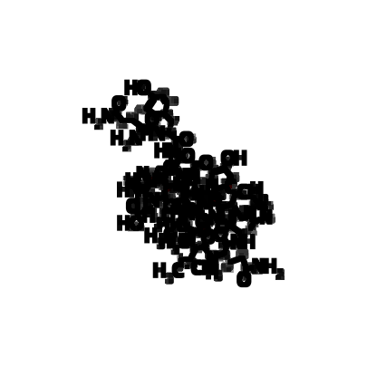 CC[C@H](C)[C@H](NC(=O)[C@@H](NC(=O)[C@H](Cc1ccc(O)cc1)NC(=O)[C@H](CC(N)=O)NC(=O)CNC(=O)[C@H](Cc1ccc(O)cc1)NC(=O)[C@@H](N)CCC(N)=O)C(C)C)C(=O)N[C@@H](CCC(N)=O)C(=O)N[C@@H](Cc1c[nH]cn1)C(=O)N[C@H](C(=O)N[C@@H](CC(C)C)C(=O)N[C@@H](CCC(=O)O)C(=O)N[C@@H](Cc1c[nH]cn1)C(=O)NCC(=O)O)C(C)C